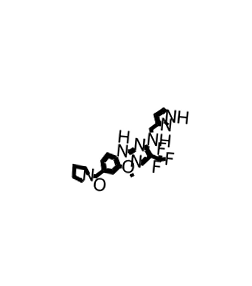 COc1cc(C(=O)N2CCCC2)ccc1Nc1ncc(C(F)(F)F)c(NCc2cc[nH]n2)n1